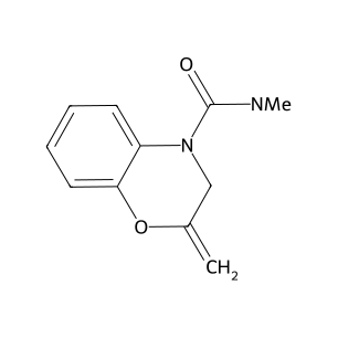 C=C1CN(C(=O)NC)c2ccccc2O1